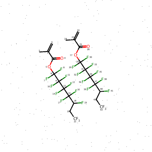 C=C(C)C(=O)OC(F)(F)C(F)(F)C(F)(F)C(F)(F)C(F)CC(F)(F)F.C=C(C)C(=O)OC(F)(F)C(F)(F)C(F)(F)C(F)(F)C(F)CC(F)(F)F